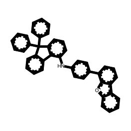 c1ccc(C2(c3ccccc3)c3ccccc3-c3c(Nc4ccc(-c5cccc6c5oc5ccccc56)cc4)cccc32)cc1